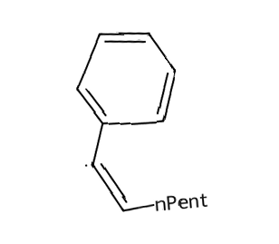 CCCCC/C=[C]\c1ccccc1